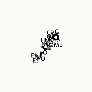 CCN(CC)C(=O)COc1cnc(NS(=O)(=O)c2cccc(Cl)c2Cl)c(OC)n1